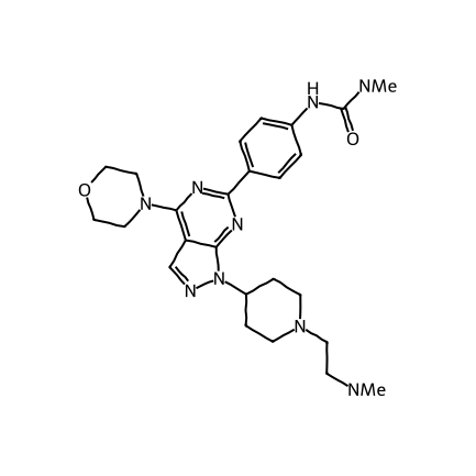 CNCCN1CCC(n2ncc3c(N4CCOCC4)nc(-c4ccc(NC(=O)NC)cc4)nc32)CC1